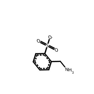 NCc1ccccc1S([O])(=O)=O